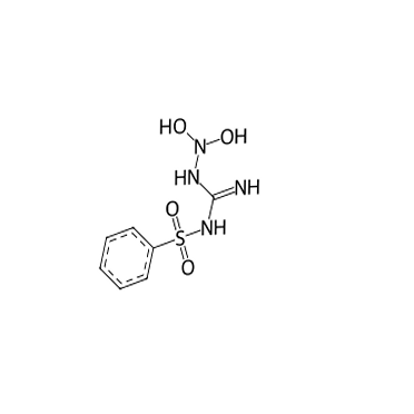 N=C(NN(O)O)NS(=O)(=O)c1ccccc1